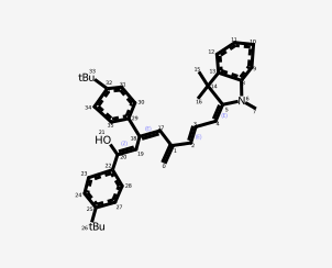 C=C(/C=C/C=C1/N(C)c2ccccc2C1(C)C)/C=C(\C=C(/O)c1ccc(C(C)(C)C)cc1)c1ccc(C(C)(C)C)cc1